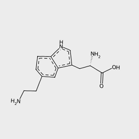 NCCc1ccc2[nH]cc(C[C@H](N)C(=O)O)c2c1